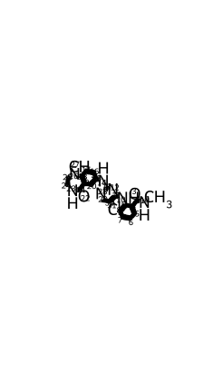 CNC(=O)c1ccccc1Nc1nc(Nc2ccc3c(c2)C(=O)NCCN3C)ncc1Cl